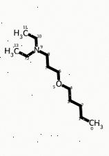 CCC[C]COCCCN(CC)CC